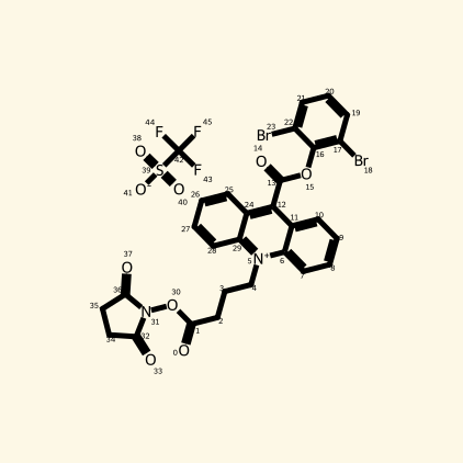 O=C(CCC[n+]1c2ccccc2c(C(=O)Oc2c(Br)cccc2Br)c2ccccc21)ON1C(=O)CCC1=O.O=S(=O)([O-])C(F)(F)F